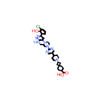 O=C(O)C1CCC2(CC1)CC(N1CCC(c3cnc(N4CCN5c6cc(-c7cccc(Cl)c7O)nnc6NCC5C4)nc3)CC1)C2